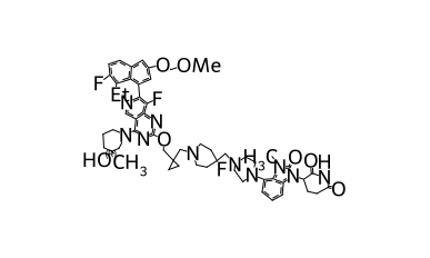 CCc1c(F)ccc2cc(OCOC)cc(-c3ncc4c(N5CCC[C@@](C)(O)C5)nc(OCC5(CN6CCC(F)(CN7CCN(c8cccc9c8n(C)c(=O)n9C8CCC(=O)NC8=O)CC7)CC6)CC5)nc4c3F)c12